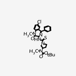 CN1C(=O)C(NC(=S)N2CCC(N(C)C(=O)OC(C)(C)C)C2)N=C(c2ccccc2)c2cc(Cl)ccc21